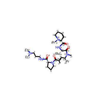 CCN(CC)CCCNC(=O)[C@@H]1CCCN1C(=O)/C(C)=C/[C@H](C(C)C)N(C)C(=O)[C@@H](NC(=O)[C@H]1CCCCN1C(C)C)C(C)(C)C